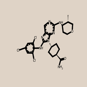 C[C@@H]1COCC[C@@H]1Nc1ncc2nc(Nc3c(Cl)cc(Cl)cc3Cl)n([C@H]3CC[C@H](C(N)=O)CC3)c2n1